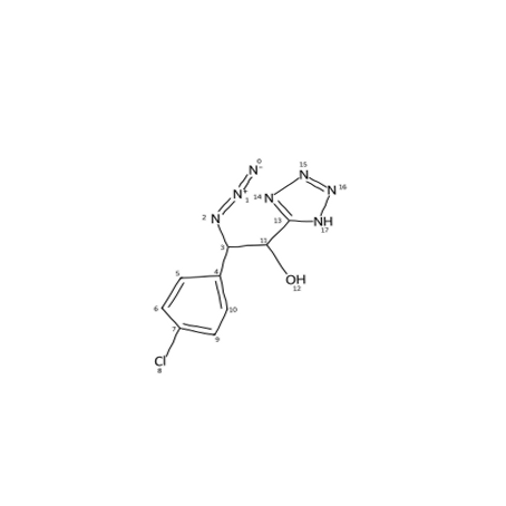 [N-]=[N+]=NC(c1ccc(Cl)cc1)C(O)c1nnn[nH]1